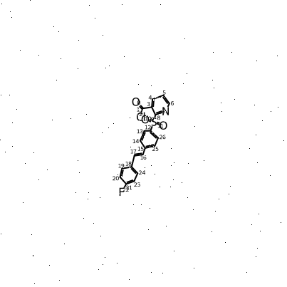 O=C(Cl)c1cccnc1S(=O)(=O)c1ccc(C=Cc2ccc(F)cc2)cc1